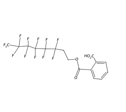 O=C(O)c1ccccc1C(=O)OCCC(F)(F)C(F)(F)C(F)(F)C(F)(F)C(F)(F)C(F)(F)F